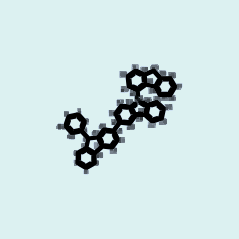 c1ccc(C2c3ccccc3-c3ccc(-c4ccc5c(c4)c4ccccc4n5-c4cccc5c4-c4ccccc4C5)cc32)cc1